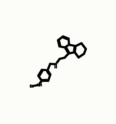 CCNc1ccc(CNCCc2c3c(n4ccccc24)CCCC3)cc1